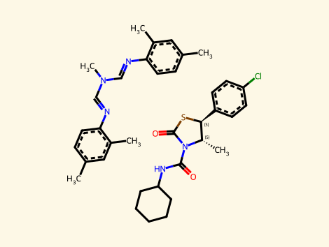 C[C@H]1[C@H](c2ccc(Cl)cc2)SC(=O)N1C(=O)NC1CCCCC1.Cc1ccc(N=CN(C)C=Nc2ccc(C)cc2C)c(C)c1